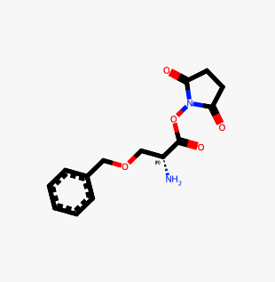 N[C@H](COCc1ccccc1)C(=O)ON1C(=O)CCC1=O